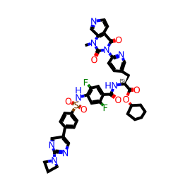 Cn1c(=O)n(-c2ccc(C[C@H](NC(=O)c3cc(F)c(NS(=O)(=O)c4ccc(-c5cnc(N6CCC6)nc5)cc4)cc3F)C(=O)OC3CCCCC3)cn2)c(=O)c2ccncc21